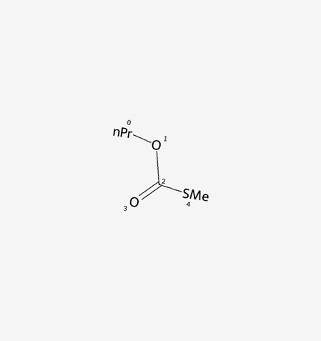 CCCOC(=O)SC